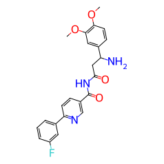 COc1ccc(C(N)CC(=O)NC(=O)c2ccc(-c3cccc(F)c3)nc2)cc1OC